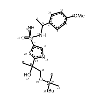 COc1ccc(C(C)NS(=N)(=O)c2cnc(C(C)(O)CO[Si](C)(C)C(C)(C)C)s2)cc1